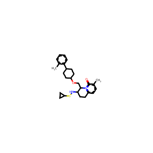 Cc1ccccc1C1CCC(OCC2C(NSC3CC3)CCc3ccc(C)c(=O)n32)CC1